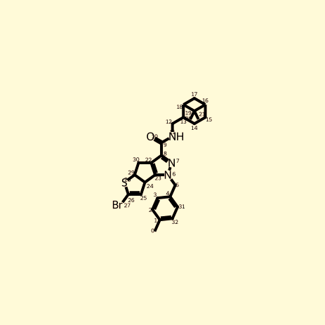 Cc1ccc(Cn2nc(C(=O)NCC3CCC4CC3C4(C)C)c3c2C2C=C(Br)SC2C3)cc1